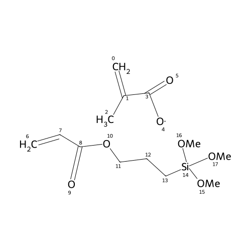 C=C(C)C([O])=O.C=CC(=O)OCCC[Si](OC)(OC)OC